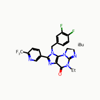 CC[C@H](C)[C@@H]1CN2C(=N1)N(CC)C(=O)c1nc(-c3ccc(C(F)(F)F)nc3)n(Cc3ccc(F)c(F)c3)c12